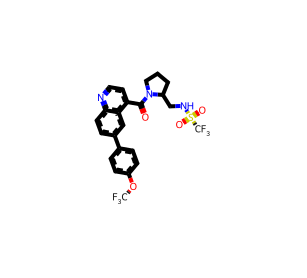 O=C(c1ccnc2ccc(-c3ccc(OC(F)(F)F)cc3)cc12)N1CCCC1CNS(=O)(=O)C(F)(F)F